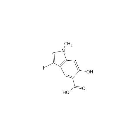 Cn1cc(I)c2cc(C(=O)O)c(O)cc21